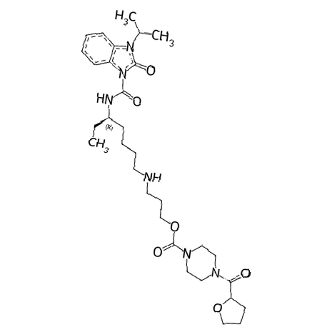 CC[C@H](CCCCNCCCOC(=O)N1CCN(C(=O)C2CCCO2)CC1)NC(=O)n1c(=O)n(C(C)C)c2ccccc21